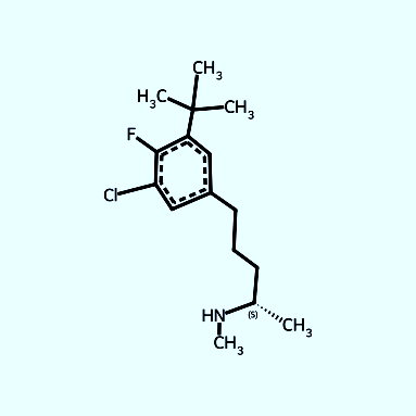 CN[C@@H](C)CCCc1cc(Cl)c(F)c(C(C)(C)C)c1